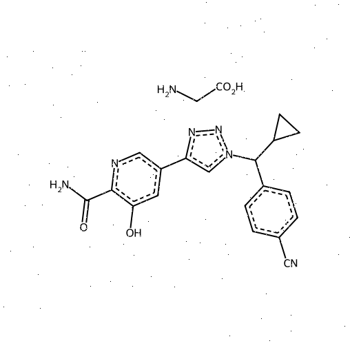 N#Cc1ccc(C(C2CC2)n2cc(-c3cnc(C(N)=O)c(O)c3)nn2)cc1.NCC(=O)O